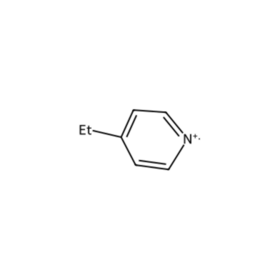 CCC1=CC=[N+]C=C1